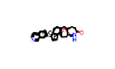 C[C@]12CC=C3C=C4CCC(=O)NC[C@]45CCC3(O5)[C@@H]1CC[C@@H]2c1ccc2ccncc2c1